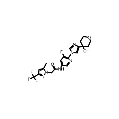 Cc1cc(C(F)(F)F)nn1CC(=O)Nc1cnc(-n2cnc(C3(O)CCOCC3)c2)c(F)c1